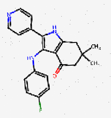 CC1(C)CC(=O)c2c([nH]c(-c3ccncc3)c2Nc2ccc(F)cc2)C1